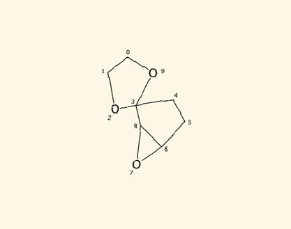 C1COC2(CCC3OC32)O1